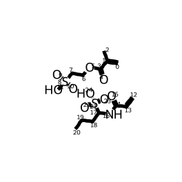 C=C(C)C(=O)OCCS(=O)(=O)O.C=CC(=O)NC(CCC)S(=O)(=O)O